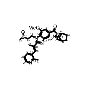 COc1cc(C(=O)N2CC3CCC2C3N)cc2nc(/C(C)=C/c3cccnc3C)n(CC[S+](C)[O-])c12